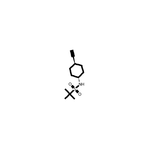 C#C[C@H]1CC[C@H](NS(=O)(=O)C(C)(C)C)CC1